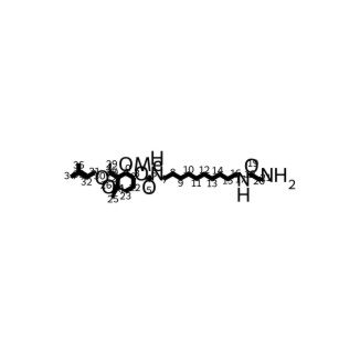 COC1C(OC(=O)NCCCCCCCCCCNC(=O)CN)CC[C@]2(CO2)C1[C@H](C)OCC=C(C)C